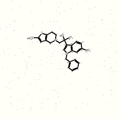 O=C(O)c1cc2c(s1)CCN(CC(O)(c1cn(Cc3ccccc3)c3cc([N+](=O)[O-])ccc13)C(F)(F)F)C2